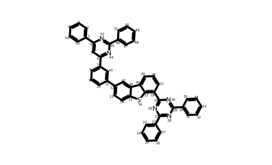 c1ccc(-c2cc(-c3cccc(-c4ccc5sc6c(-c7nc(-c8ccccc8)nc(-c8ccccc8)n7)cccc6c5c4)c3)nc(-c3ccccc3)n2)cc1